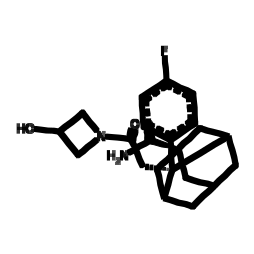 NC(=O)[C@]12CC3CC(C1)[C@](CC(=O)N1CC(O)C1)(c1ccc(F)cc1)C(C3)C2